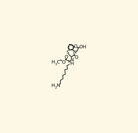 CCOC(=O)[C@@H](CCCCCCCCCN)NC1CSc2ccccc2N(CC(=O)O)C1=O